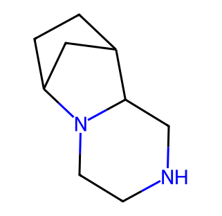 C1CN2C3CCC(C3)C2CN1